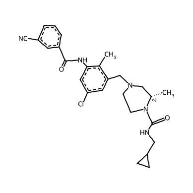 Cc1c(CN2CCN(C(=O)NCC3CC3)[C@@H](C)C2)cc(Cl)cc1NC(=O)c1cccc(C#N)c1